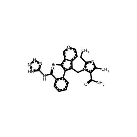 CCc1nc(C)c(C(N)=O)n1Cc1c2ccocc-2c(Br)c1-c1ccccc1C(=O)Nc1nnn[nH]1